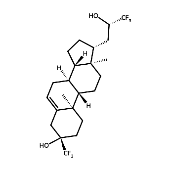 C[C@]12CC[C@H]3[C@@H](CC=C4C[C@](O)(C(F)(F)F)CC[C@@]43C)[C@@H]1CC[C@@H]2C[C@H](O)C(F)(F)F